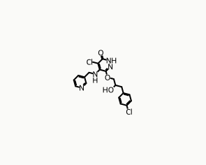 O=c1[nH]nc(OCC(O)Cc2ccc(Cl)cc2)c(NCc2cccnc2)c1Cl